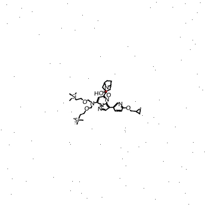 C[Si](C)(C)CCOCN(COCC[Si](C)(C)C)c1cc(C2CC3CCC(C2)N3C(=O)O)nc2c(-c3ccc(OCC4CC4)nc3)cnn12